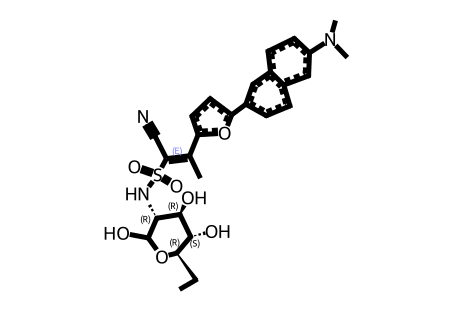 CC[C@H]1OC(O)[C@H](NS(=O)(=O)/C(C#N)=C(\C)c2ccc(-c3ccc4cc(N(C)C)ccc4c3)o2)[C@@H](O)[C@@H]1O